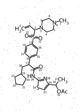 C=CC(N1CCN(C)CC1)S(=O)(=O)c1ccc(C(CC2CCCC2)C(=O)Nc2nc(C(C)OC(C)=O)cs2)cc1